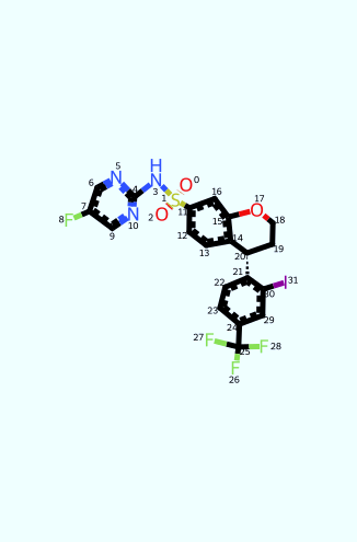 O=S(=O)(Nc1ncc(F)cn1)c1ccc2c(c1)OCC[C@@H]2c1ccc(C(F)(F)F)cc1I